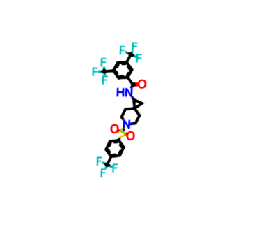 O=C(NC1CC12CCN(S(=O)(=O)c1ccc(C(F)(F)F)cc1)CC2)c1cc(C(F)(F)F)cc(C(F)(F)F)c1